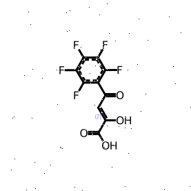 O=C(O)/C(O)=C/C(=O)c1c(F)c(F)c(F)c(F)c1F